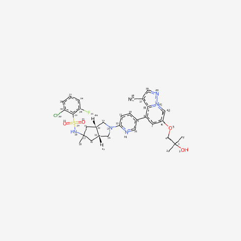 CC(C)(O)COc1cc(-c2ccc(N3C[C@@H]4CC(C)(NS(=O)(=O)c5c(F)cccc5Cl)C[C@@H]4C3)nc2)c2c(C#N)cnn2c1